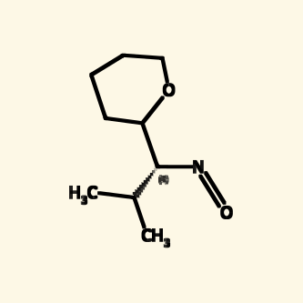 CC(C)[C@@H](N=O)C1CCCCO1